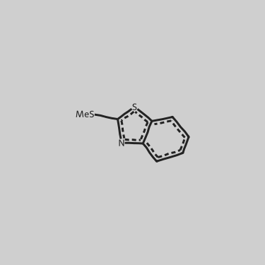 [CH2]Sc1nc2ccccc2s1